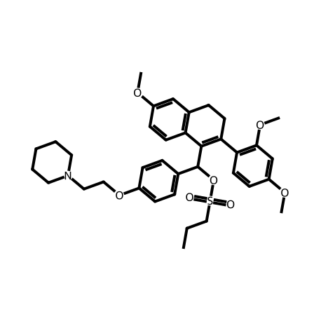 CCCS(=O)(=O)OC(C1=C(c2ccc(OC)cc2OC)CCc2cc(OC)ccc21)c1ccc(OCCN2CCCCC2)cc1